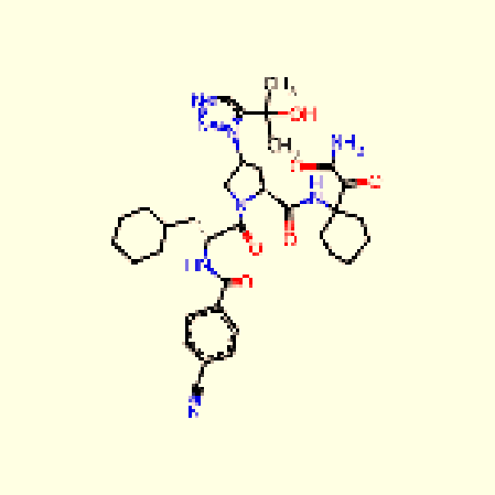 CC(C)(O)c1cnnn1[C@H]1C[C@@H](C(=O)NC2(C(=O)C(N)=O)CCCCC2)N(C(=O)[C@@H](CC2CCCCC2)NC(=O)c2ccc(C#N)cc2)C1